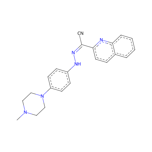 CN1CCN(c2ccc(N/N=C(/C#N)c3ccc4ccccc4n3)cc2)CC1